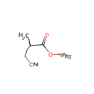 [CH2]C(CC#N)C(=O)OCCCCC